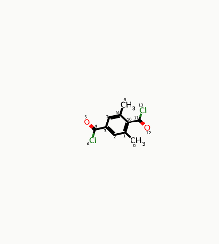 Cc1cc(C(=O)Cl)cc(C)c1C(=O)Cl